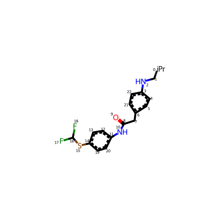 CC(C)CNc1ccc(CC(=O)Nc2ccc(SC(F)F)cc2)cc1